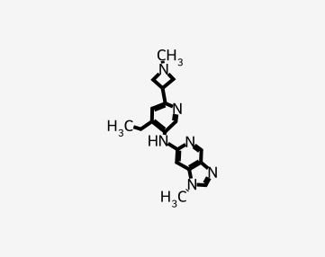 CCc1cc(C2CN(C)C2)ncc1Nc1cc2c(cn1)ncn2C